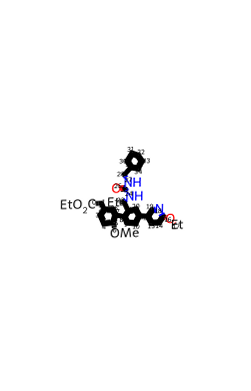 CCOC(=O)Cc1ccc(OC)c(-c2ccc(-c3ccc(OCC)nc3)cc2C(CC)NC(=O)NCc2ccccc2)c1